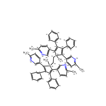 Cc1ccc(C2=C(c3ccccc3)C(c3ccccc3)=C(c3ccc(C)nc3)[Si]2(C)CC[Si]2(C)C(c3ccc(C)nc3)=C(c3ccccc3)C(c3ccccc3)=C2c2ccc(C)nc2)cn1